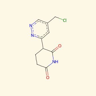 O=C1CCC(c2cc(CCl)cnn2)C(=O)N1